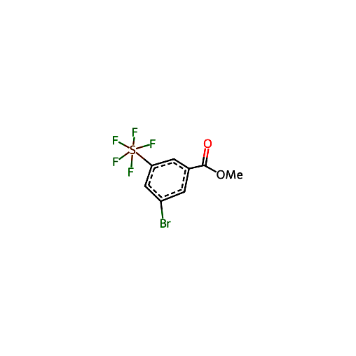 COC(=O)c1cc(Br)cc(S(F)(F)(F)(F)F)c1